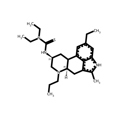 CCCN1C[C@@H](NC(=S)N(CC)CC)CC2c3cc(CC)cc4[nH]c(C)c(c34)C[C@H]21